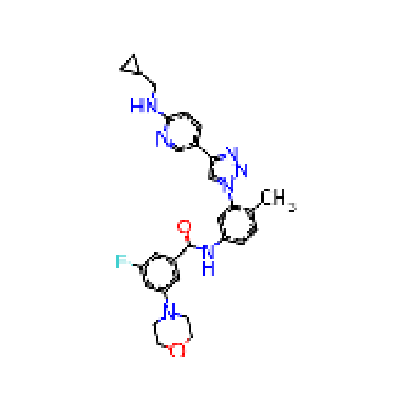 Cc1ccc(NC(=O)c2cc(F)cc(N3CCOCC3)c2)cc1-n1cc(-c2ccc(NCC3CC3)nc2)nn1